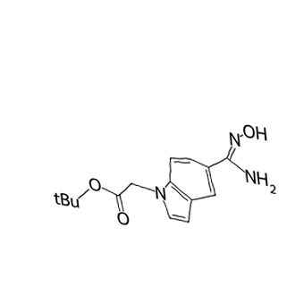 CC(C)(C)OC(=O)Cn1ccc2cc(/C(N)=N/O)ccc21